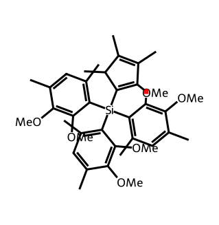 COc1c(C)cc(C)c([Si](C2=C(C)C(C)=C(C)C2C)(c2c(C)cc(C)c(OC)c2OC)c2c(C)cc(C)c(OC)c2OC)c1OC